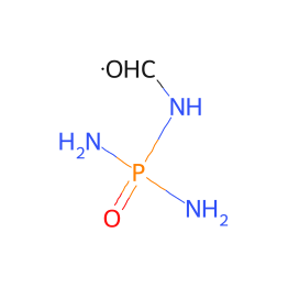 NP(N)(=O)N[C]=O